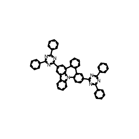 c1ccc(-c2nc(-c3ccccc3)nc(-c3ccc4c(c3)-c3ccccc3-c3cc(-c5nc(-c6ccccc6)nc(-c6ccccc6)n5)cc5c6ccccc6n-4c35)n2)cc1